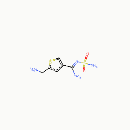 NCc1cc(C(N)=NS(N)(=O)=O)cs1